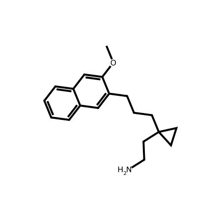 COc1cc2ccccc2cc1CCCC1(CCN)CC1